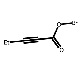 CCC#CC(=O)OBr